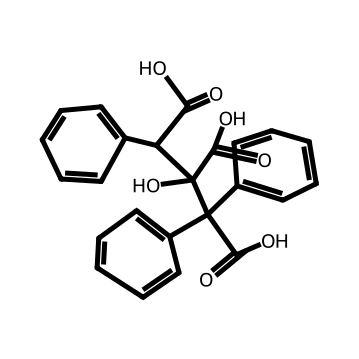 O=C(O)C(c1ccccc1)C(O)(C(=O)O)C(C(=O)O)(c1ccccc1)c1ccccc1